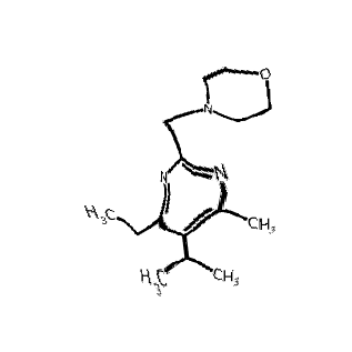 CCc1nc(CN2CCOCC2)nc(C)c1C(C)C